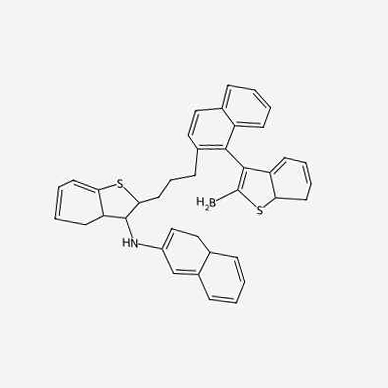 BC1=C(c2c(CCCC3SC4=CC=CCC4C3NC3=CCC4C=CC=CC4=C3)ccc3ccccc23)C2=CC=CCC2S1